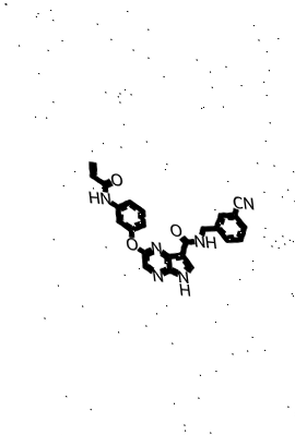 C=CC(=O)Nc1cccc(Oc2cnc3[nH]cc(C(=O)NCc4cccc(C#N)c4)c3n2)c1